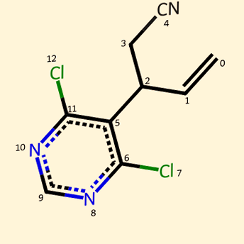 C=CC(CC#N)c1c(Cl)ncnc1Cl